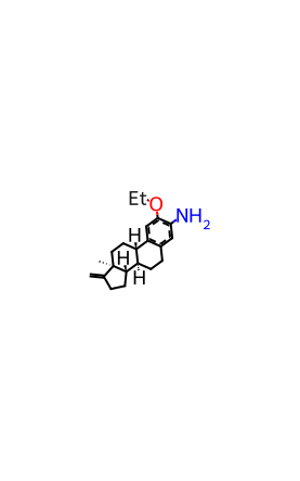 C=C1CC[C@H]2[C@@H]3CCc4cc(N)c(OCC)cc4[C@H]3CC[C@]12C